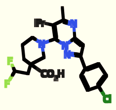 Cc1nc2cc(-c3ccc(Cl)cc3)nn2c(N2CCCC(CC(F)F)(C(=O)O)C2)c1C(C)C